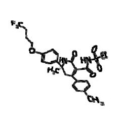 CCS(=O)(=O)NC(=O)C1=C(c2ccc(C)cc2)C[C@@](C)(c2ccc(OCCCC(F)(F)F)cc2)NC1=O